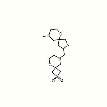 CN1CCOC2(CSC(CN3CCOC4(C3)CS(=O)(=O)C4)C2)C1